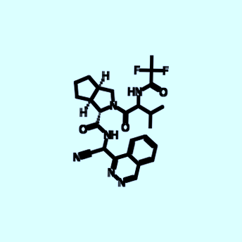 CC(C)C(NC(=O)C(C)(F)F)C(=O)N1C[C@@H]2CCC[C@@H]2[C@H]1C(=O)NC(C#N)c1nncc2ccccc12